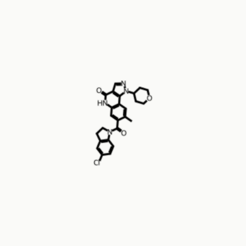 Cc1cc2c(cc1C(=O)N1CCc3cc(Cl)ccc31)[nH]c(=O)c1cnn(C3CCOCC3)c12